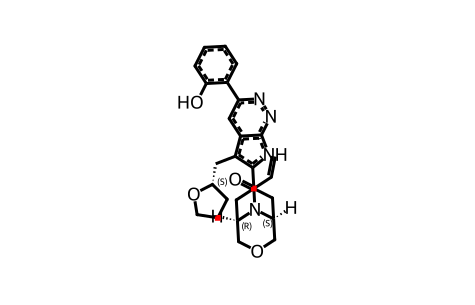 C=CC(=O)N1[C@@H]2COC[C@H]1CC(c1[nH]c3nnc(-c4ccccc4O)cc3c1C[C@@H]1CCCO1)C2